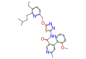 CCc1ccc(COc2nnc(NC(=O)c3cnc(C)cc3-c3ccccc3OC)s2)nc1CCC(C)C